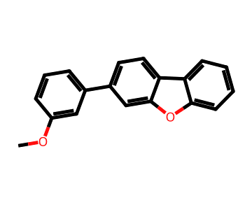 COc1cccc(-c2ccc3c(c2)oc2ccccc23)c1